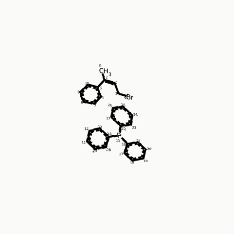 C/C(=C/CBr)c1ccccc1.c1ccc(P(c2ccccc2)c2ccccc2)cc1